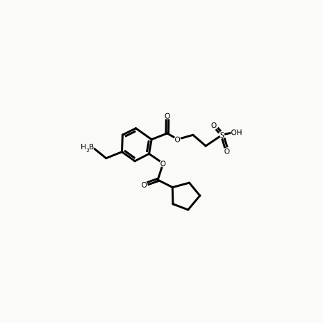 BCc1ccc(C(=O)OCCS(=O)(=O)O)c(OC(=O)C2CCCC2)c1